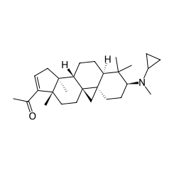 CC(=O)C1=CC[C@@]2(C)[C@@H]3CC[C@H]4C(C)(C)[C@@H](N(C)C5CC5)CC[C@@]45C[C@@]35CC[C@]12C